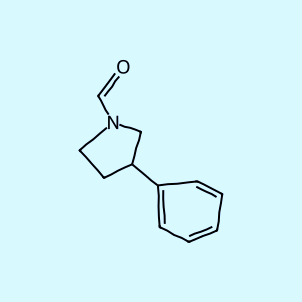 O=CN1CCC(c2ccccc2)C1